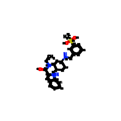 CCN(C(=O)c1cc2ccccc2[nH]1)[C@H]1CCC[C@@H](NCc2cccc(S(C)(=O)=O)c2)C1